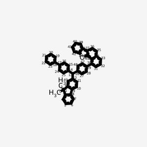 CC1(C)c2ccccc2-c2ccc(C(c3ccc(-c4ccccc4)cc3)c3ccc(-c4cccc5ccc6c7ccccc7oc6c45)cc3)cc21